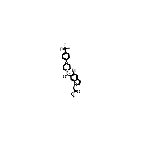 COC(=O)Cn1ccc2cc(Br)c([S+]([O-])N3CCN(c4ccc(C(F)(F)F)cc4)CC3)cc21